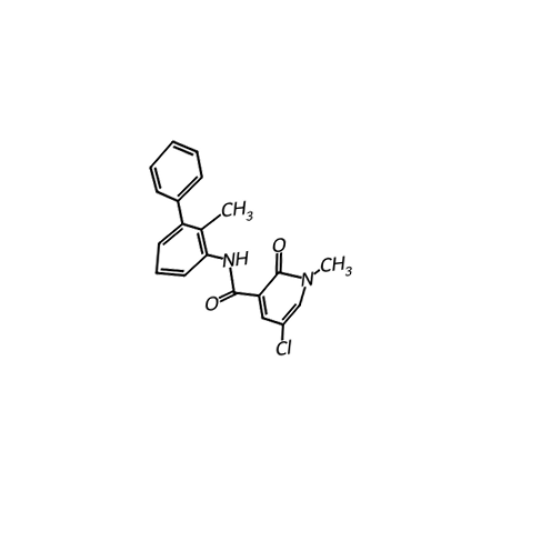 Cc1c(NC(=O)c2cc(Cl)cn(C)c2=O)cccc1-c1ccccc1